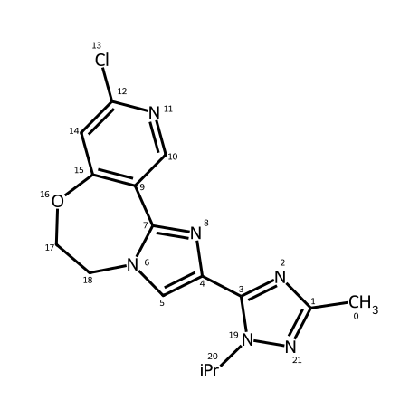 Cc1nc(-c2cn3c(n2)-c2cnc(Cl)cc2OCC3)n(C(C)C)n1